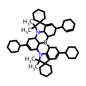 CC1(C)N2C3=C(C=C(C4CCCCC4)CC3B3C4CC(C5C=CCCC5)C=C5C4N(C4CC(C6CCCCC6)=CC2C34)C(C)(C)C52CCCCC2)C12CCCCC2